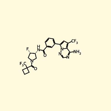 Nc1ncnn2c(-c3cccc(C(=O)N[C@@H]4CN(C(=O)C5(C(F)(F)F)CCC5)C[C@@H]4F)c3)cc(C(F)(F)F)c12